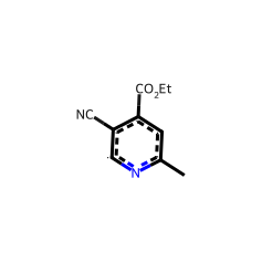 CCOC(=O)c1cc(C)n[c]c1C#N